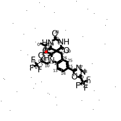 CC(C)[C@@H]1O[C@H](C(F)(F)F)CN2c3ccc(-c4nnc(C(F)(F)F)o4)cc3CC3(C(=O)NC(=O)NC3=O)[C@@H]12